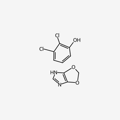 Oc1cccc(Cl)c1Cl.c1nc2c([nH]1)OCO2